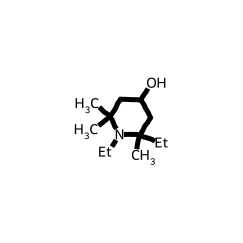 CCN1C(C)(C)CC(O)CC1(C)CC